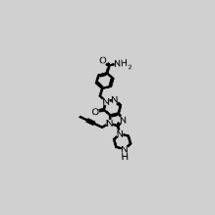 CC#CCn1c(N2CCNCC2)nc2cnn(Cc3ccc(C(N)=O)cc3)c(=O)c21